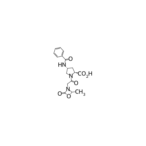 CC1OC(=O)N1CC(=O)N1C[C@H](NC(=O)c2ccccc2)C[C@H]1C(=O)O